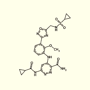 COc1c(Nc2cc(NC(=O)C3CC3)nnc2C(N)=O)cccc1-c1noc(CNS(=O)(=O)C2CC2)n1